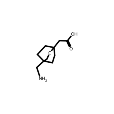 NCC12CCC(CC(=O)O)(CC1)CC2